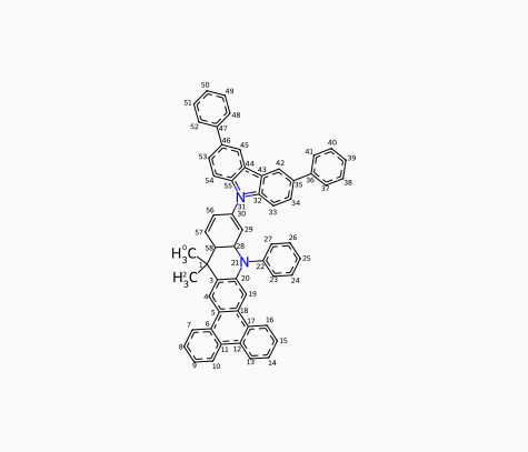 CC1(C)c2cc3c4ccccc4c4ccccc4c3cc2N(c2ccccc2)C2C=C(n3c4ccc(-c5ccccc5)cc4c4cc(-c5ccccc5)ccc43)C=CC21